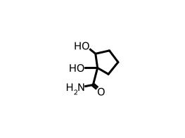 NC(=O)C1(O)CCCC1O